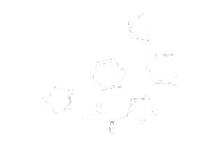 Cc1cnc(-n2ncc(C(=O)NCc3cncn3C)c2-c2ccc(F)cc2)nc1-c1cccs1